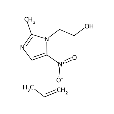 C=CC.Cc1ncc([N+](=O)[O-])n1CCO